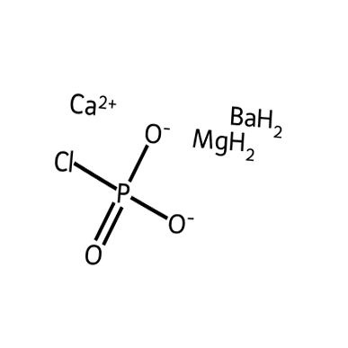 O=P([O-])([O-])Cl.[BaH2].[Ca+2].[MgH2]